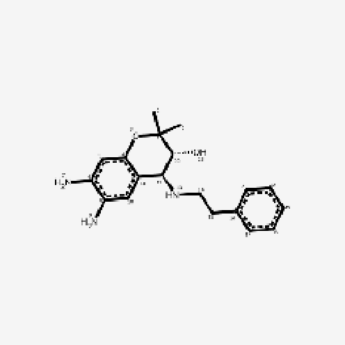 CC1(C)Oc2cc(N)c(N)cc2[C@H](NCCc2ccccc2)[C@H]1O